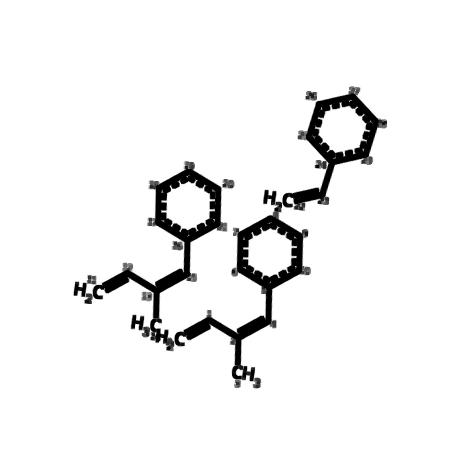 C=CC(C)=Cc1ccccc1.C=CC(C)=Cc1ccccc1.C=Cc1ccccc1